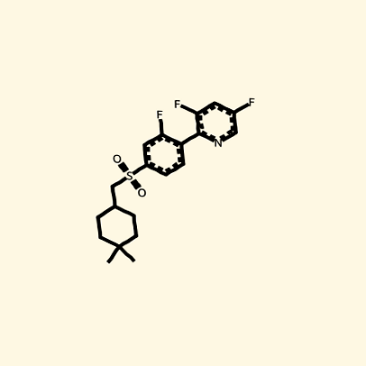 CC1(C)CCC(CS(=O)(=O)c2ccc(-c3ncc(F)cc3F)c(F)c2)CC1